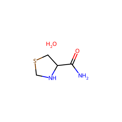 NC(=O)C1CSCN1.O